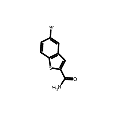 NC(=O)c1cc2cc(Br)ccc2s1